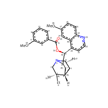 CC[C@H]1CN2CC[C@H]1C[C@@H]2[C@@H](OC(=O)c1cccc(OC)c1)c1ccnc2ccc(OC)cc12